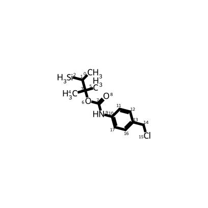 CC([SiH3])C(C)(C)OC(=O)Nc1ccc(CCl)cc1